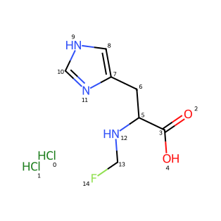 Cl.Cl.O=C(O)C(Cc1c[nH]cn1)NCF